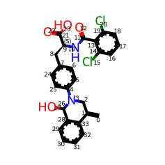 C=C1CN(c2ccc(C[C@H](NC(=O)c3c(Cl)cccc3Cl)C(=O)O)cc2)C(O)c2ccccc21